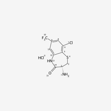 Cl.N[C@H]1CSc2c(Cl)cc(C(F)(F)F)cc2NC1=O